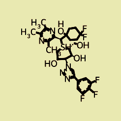 Cc1nc(C)c([C@H]([SH]2C[C@H](O)[C@H](n3cc(-c4cc(F)c(F)c(F)c4)nn3)[C@@H](O)[C@H]2CO)C2(O)CCC(F)(F)CC2)nc1C